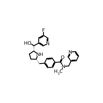 CN(Cc1cccnc1)C(=O)c1ccc(C[C@@H]2CC[C@H](C(O)c3cncc(F)c3)N2)cc1